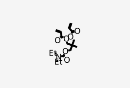 C=CC(=O)OCC(C)(COC(=O)C=C)COC(=O)N(CC)CC